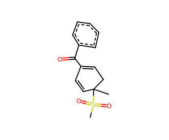 CC1(S(C)(=O)=O)C=CC(C(=O)c2ccccc2)=CC1